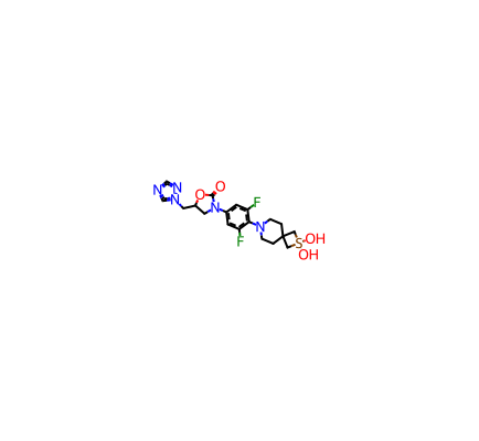 O=C1OC(Cn2cncn2)CN1c1cc(F)c(N2CCC3(CC2)CS(O)(O)C3)c(F)c1